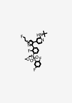 COCN(c1cccc(-c2nn(CCF)cc2-c2ccnc(NC(C)(C)C)c2)c1F)S(=O)(=O)c1cc(F)ccc1F